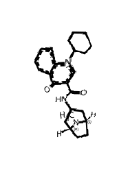 CN1[C@@H]2CC[C@H]1CC(NC(=O)c1cn(C3CCCCC3)c3ccccc3c1=O)C2